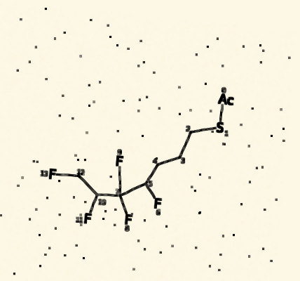 CC(=O)SCCCC(F)C(F)(F)C(F)CF